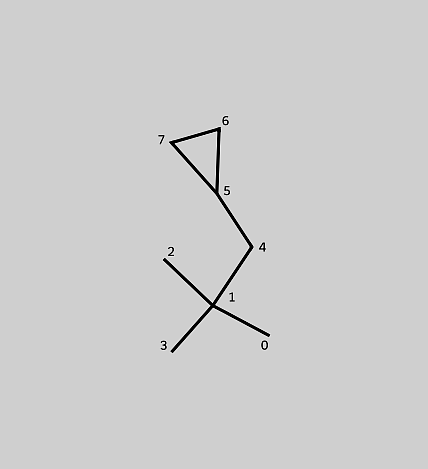 CC(C)(C)CC1CC1